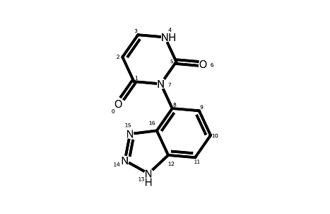 O=c1cc[nH]c(=O)n1-c1cccc2[nH]nnc12